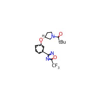 CC(C)(C)C(=O)N1CC[C@@H](Oc2cccc(-c3noc(C(F)(F)F)n3)c2)C1